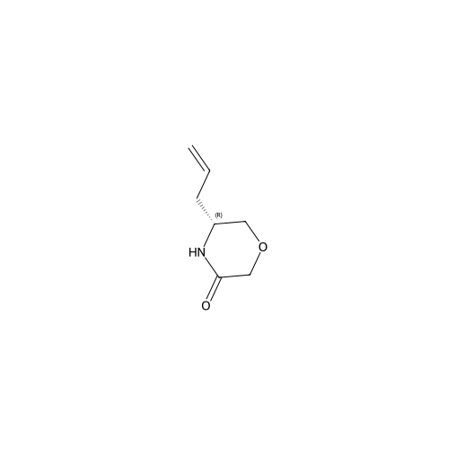 C=CC[C@@H]1COCC(=O)N1